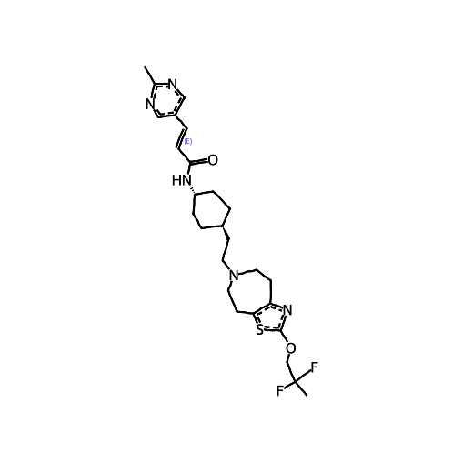 Cc1ncc(/C=C/C(=O)N[C@H]2CC[C@H](CCN3CCc4nc(OCC(C)(F)F)sc4CC3)CC2)cn1